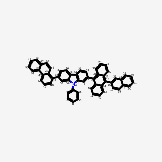 c1ccc(-n2c3cc(-c4c5ccccc5c(-c5ccc6ccccc6c5)c5ccccc45)ccc3c3ccc(-c4cccc5c4ccc4ccccc45)cc32)cc1